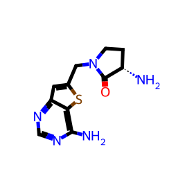 Nc1ncnc2cc(CN3CC[C@H](N)C3=O)sc12